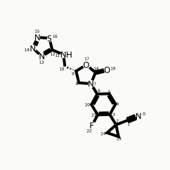 N#CC1(c2ccc(N3C[C@H](CNc4nnns4)OC3=O)cc2F)CC1